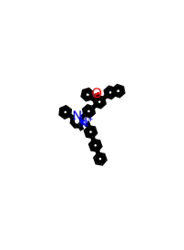 CC1=[N+](Cc2ccc(-c3ccc(-c4ccccc4)cc3)cc2)C(c2ccc(-c3ccc(-c4ccc5ccccc5c4)c4oc5ccccc5c34)cc2)N=C(c2ccccc2)CC1